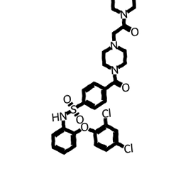 O=C(CN1CCN(C(=O)c2ccc(S(=O)(=O)Nc3ccccc3Oc3ccc(Cl)cc3Cl)cc2)CC1)N1CCCCC1